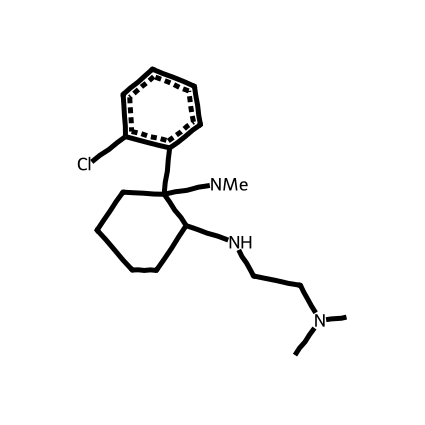 CNC1(c2ccccc2Cl)CCCCC1NCCN(C)C